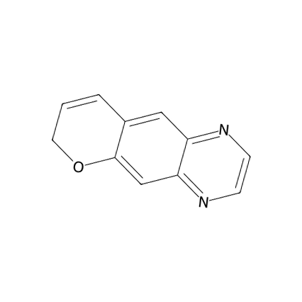 C1=Cc2cc3nccnc3cc2OC1